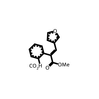 COC(=O)/C(=C/c1ccoc1)c1ccccc1C(=O)O